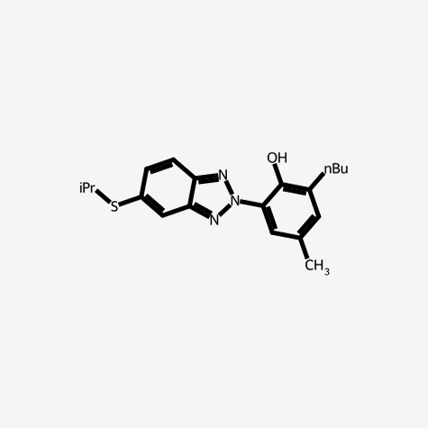 CCCCc1cc(C)cc(-n2nc3ccc(SC(C)C)cc3n2)c1O